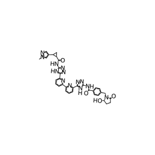 Cn1cc(C2CC2C(=O)Nc2nnc(-c3cccc(-c4cccc(-c5nnc(NC(=O)c6ccc(CN7C(=O)CCC7O)cc6)[nH]5)n4)n3)[nH]2)cn1